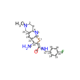 CN1CCc2nc3sc(C(=O)NCc4ccc(F)cc4)c(N)c3cc2C1